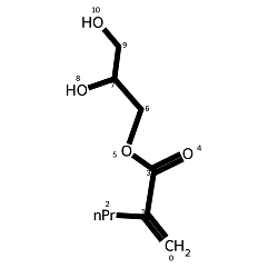 C=C(CCC)C(=O)OCC(O)CO